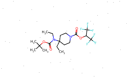 CCN(C(=O)OC(C)(C)C)C1(CC)CCN(C(=O)OC(C(F)(F)F)C(F)(F)F)CC1